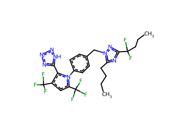 CCCCc1nc(C(F)(F)CCC)nn1Cc1ccc(-n2c(C(F)(F)F)cc(C(F)(F)F)c2-c2nnn[nH]2)cc1